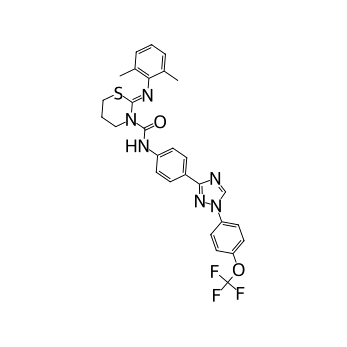 Cc1cccc(C)c1N=C1SCCCN1C(=O)Nc1ccc(-c2ncn(-c3ccc(OC(F)(F)F)cc3)n2)cc1